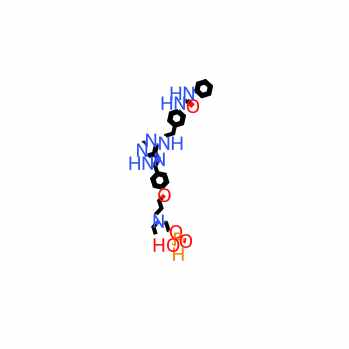 CCN(CCCOc1ccc(-c2nc3c(NCCc4ccc(NC(=O)Nc5ccccc5)cc4)ncnc3[nH]2)cc1)CCO[PH](=O)O